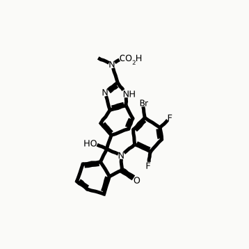 CN(C(=O)O)c1nc2cc(C3(O)c4ccccc4C(=O)N3c3cc(Br)c(F)cc3F)ccc2[nH]1